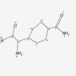 NC(=O)C1CCC(C(N)C(N)Cl)CC1